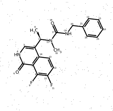 C[C@H](c1c[nH]c(=O)c2c(F)c(F)ccc12)N(C)C(=O)NCc1ccccc1